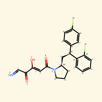 N=CC(=O)/C(O)=C/C(=O)N1CCC[C@@H]1C[C@@H](c1ccc(F)cc1)c1ccccc1F